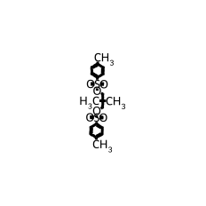 Cc1ccc(S(=O)(=O)OCC(C)(C)COS(=O)(=O)c2ccc(C)cc2)cc1